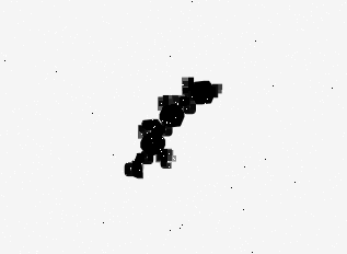 [C-]#[N+]c1cc2c(Oc3ccc(NC(=O)Nc4ccc(F)cc4)c(F)c3)ccnc2cc1OC[C@H]1CO1